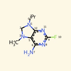 CC(C)N1CN(C)c2c(N)nc(F)nc21